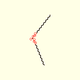 CCCCCCCCCCCCCCOOOC(=O)OOOCCCCCCCCCCCCCC